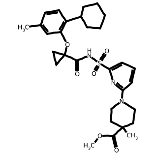 COC(=O)C1(C)CCN(c2cccc(S(=O)(=O)NC(=O)C3(Oc4cc(C)ccc4C4CCCCC4)CC3)n2)CC1